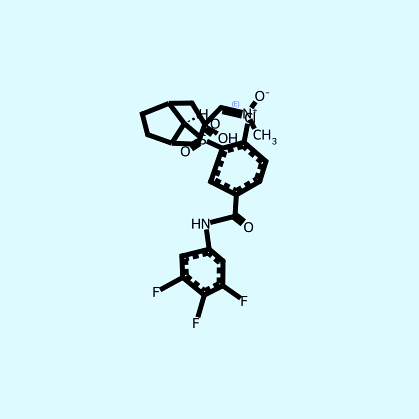 C/[N+]([O-])=C\[C@]1(O)CC2CCC(C1)[C@H]2S(=O)(=O)c1cc(C(=O)Nc2cc(F)c(F)c(F)c2)ccc1Cl